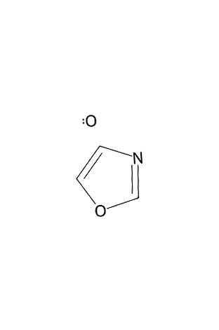 [O].c1cocn1